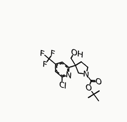 CC(C)(C)OC(=O)N1CCC(CO)(c2cc(C(F)(F)F)cc(Cl)n2)C1